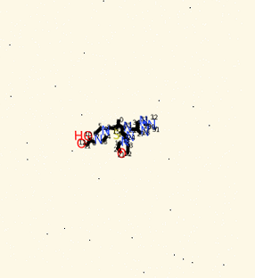 Cc1c(CN2CCN(C[C@H](O)C=O)CC2)sc2c(N3CCOCC3)nc(-c3cnc(N(C)C)nc3)nc12